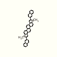 Cn1c(-c2ccc3ccccc3c2)cc2c3ccc4c(ccc5c4ccc4c5cc(-c5ccc6ccccc6c5)n4C)c3ccc21